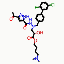 CC(=O)c1cc(C(=O)NN(Cc2ccc(-c3cc(Cl)ccc3F)cc2)C[C@@H](O)C(=O)OCCCCN(C)C)[nH]n1